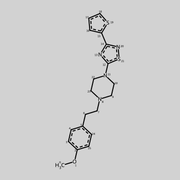 COc1ccc(CCN2CCN(c3nc(-c4cccs4)ns3)CC2)cc1